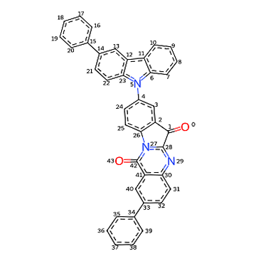 O=C1c2cc(-n3c4ccccc4c4cc(-c5ccccc5)ccc43)ccc2-n2c1nc1ccc(-c3ccccc3)cc1c2=O